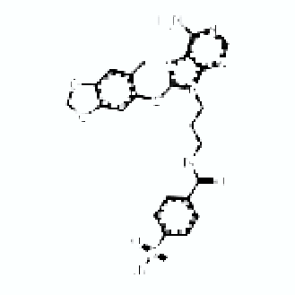 Nc1ncnc2c1nc(Sc1cc3c(cc1I)OCO3)n2CCCNC(=O)c1ccc(S(N)(=O)=O)cc1